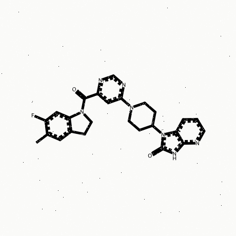 Cc1cc2c(cc1F)N(C(=O)c1cc(N3CCC(n4c(=O)[nH]c5ncccc54)CC3)ncn1)CC2